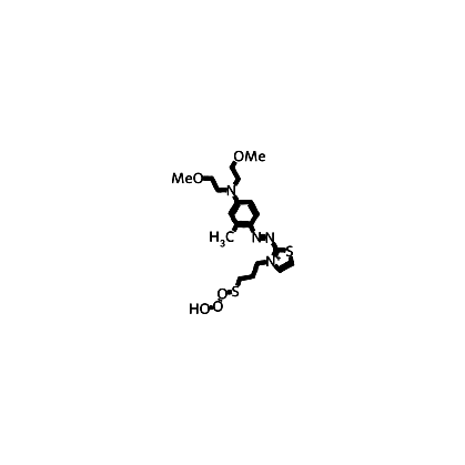 COCCN(CCOC)c1ccc(/N=N/c2scc[n+]2CCCSOOO)c(C)c1